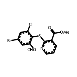 COC(=O)c1cccnc1Sc1c(Cl)cc(Br)cc1C=O